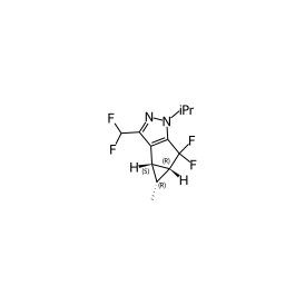 CC(C)n1nc(C(F)F)c2c1C(F)(F)[C@@H]1[C@H](C)[C@H]21